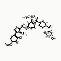 COc1ccc(-c2cnc(C(=O)Nc3ccc(C(=O)N4CCN(C(=O)[C@@H]5C[C@H](O)CN5)CC4)c(Cl)c3)n2C)c(Cl)c1F.O=CO